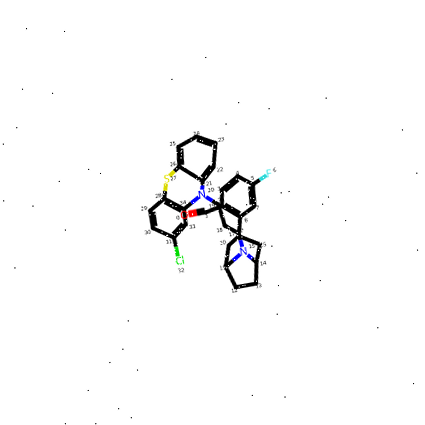 O=Cc1ccc(F)cc1C1CC2CCC(C1)N2CCCN1c2ccccc2Sc2ccc(Cl)cc21